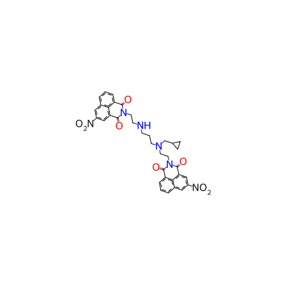 O=C1c2cccc3cc([N+](=O)[O-])cc(c23)C(=O)N1CCNCCCN(CCN1C(=O)c2cccc3cc([N+](=O)[O-])cc(c23)C1=O)CC1CC1